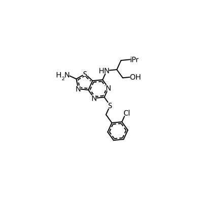 CC(C)CC(CO)Nc1nc(SCc2ccccc2Cl)nc2nc(N)sc12